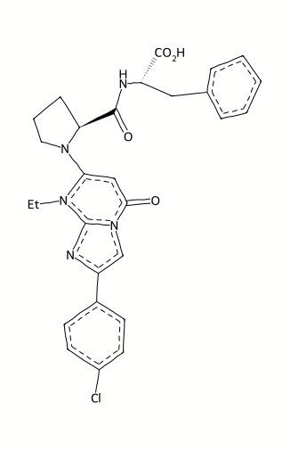 CCn1c(N2CCC[C@H]2C(=O)N[C@@H](Cc2ccccc2)C(=O)O)cc(=O)n2cc(-c3ccc(Cl)cc3)nc12